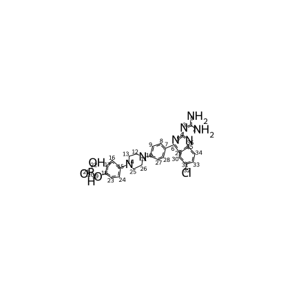 NC(N)=Nc1nc(-c2ccc(N3CCN(c4ccc(O[PH](=O)O)cc4)CC3)cc2)c2cc(Cl)ccc2n1